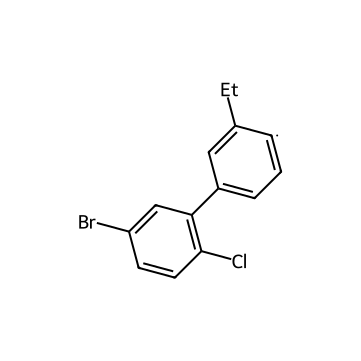 CCc1[c]ccc(-c2cc(Br)ccc2Cl)c1